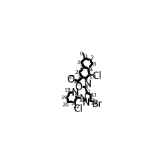 Cc1ccc2c(Cl)c3nc(-c4cc(Br)nn4-c4ncccc4Cl)oc(=O)c3cc2c1